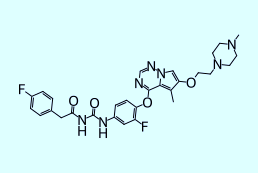 Cc1c(OCCN2CCN(C)CC2)cn2ncnc(Oc3ccc(NC(=O)NC(=O)Cc4ccc(F)cc4)cc3F)c12